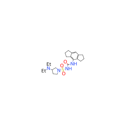 CCN(CC)C1CCN(S(=O)(=O)NC(=O)Nc2c3c(cc4c2CCC4)CCC3)C1